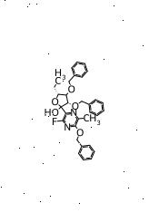 CC[C@H]1OC(O)(c2nc(C)c(OCc3ccccc3)nc2F)[C@@H](OCc2ccccc2)C1OCc1ccccc1